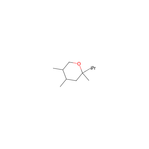 CC1COC(C)(C(C)C)CC1C